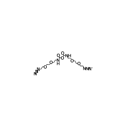 [N-]=[N+]=NCCOCCOCCNC(=O)OC(=O)NCCOCCOCCN=[N+]=[N-]